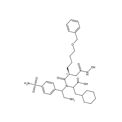 NCC(c1ccc(S(N)(=O)=O)cc1)N(C(=O)[C@@H](CCCCOCc1ccccc1)CC(=O)NO)C(CC1CCCCC1)C(=O)O